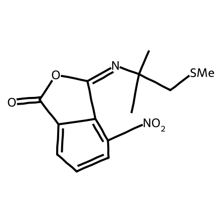 CSCC(C)(C)/N=C1/OC(=O)c2cccc([N+](=O)[O-])c21